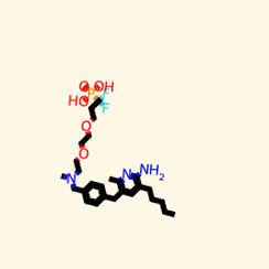 CCCCCc1cc(Cc2ccc(CN(C)CCOCCOCCC(F)(F)P(=O)(O)O)cc2)c(C)nc1N